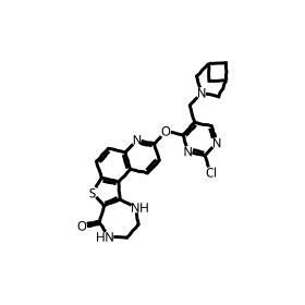 O=C1NCCNc2c1sc1ccc3nc(Oc4nc(Cl)ncc4CN4CC5CC(C5)C4)ccc3c21